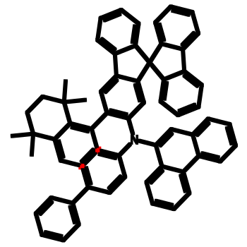 CC1(C)CCC(C)(C)c2c(-c3cc4c(cc3N(c3ccc(-c5ccccc5)cc3)c3cc5ccccc5c5ccccc35)C3(c5ccccc5-c5ccccc53)c3ccccc3-4)cccc21